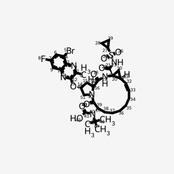 Cc1nc2c(Br)cc(F)cc2nc1O[C@@H]1C[C@H]2C(=O)N[C@]3(C(=O)NS(=O)(=O)C4CC4)C[C@H]3C=CCCCCC[C@H](N(C(=O)O)C(C)(C)C)C(=O)N2C1